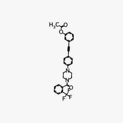 CC(=O)Oc1cccc(C#Cc2ccc(N3CCN(C(=O)c4ccccc4C(F)(F)F)CC3)cc2)c1